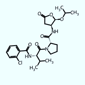 CC(C)O[C@@H]1OC(=O)C[C@@H]1NC(=O)[C@@H]1CCCN1C(=O)[C@@H](NC(=O)c1ccccc1Cl)C(C)C